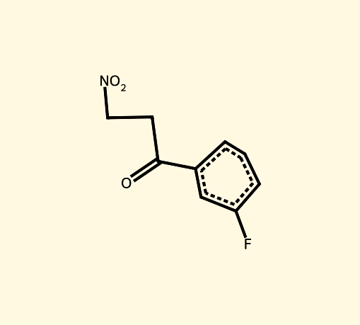 O=C(CC[N+](=O)[O-])c1cccc(F)c1